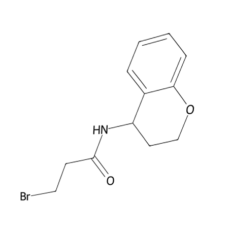 O=C(CCBr)NC1CCOc2ccccc21